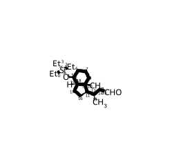 CC[Si](CC)(CC)O[C@H]1CCC[C@]2(C)[C@@H]([C@@H](C)CC=O)CC[C@@H]12